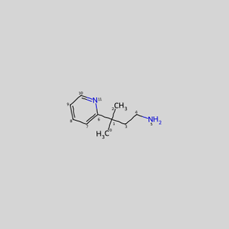 CC(C)(CCN)c1ccccn1